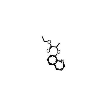 CCOC(=O)C(C)Oc1cccc2cccnc12